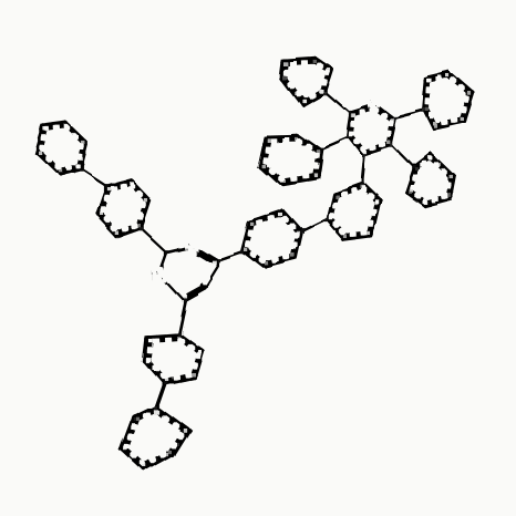 C1=C(c2ccc(-c3ccccc3)cc2)NC(c2ccc(-c3ccccc3)cc2)N=C1c1ccc(-c2cccc(-c3c(-c4ccccc4)c(-c4ccccc4)nc(-c4ccccc4)c3-c3ccccc3)c2)cc1